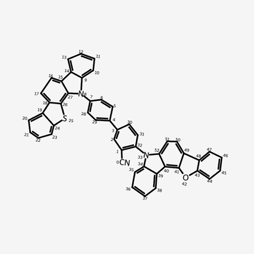 N#Cc1cc(-c2ccc(-n3c4ccccc4c4ccc5c6ccccc6sc5c43)cc2)ccc1-n1c2ccccc2c2c3oc4ccccc4c3ccc21